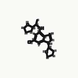 CC(Nc1nc(Cl)nc2c1ncn2C1CCCO1)C1CCCO1